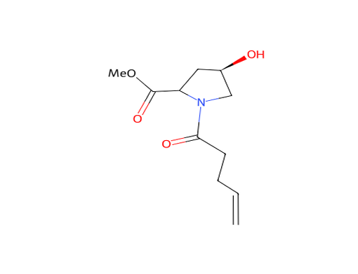 C=CCCC(=O)N1C[C@H](O)CC1C(=O)OC